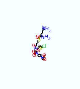 NCCCC[C@H](N)C(=O)SCCCCC(=O)N(C[C@H]1CN(c2ccc(N3CCOCC3=O)cc2)C(=O)O1)C(=O)c1ccc(Cl)s1